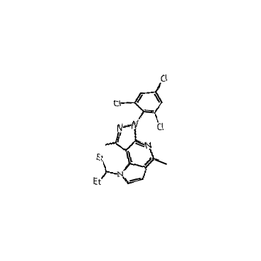 CCC(CC)n1ccc2c(C)nc3c(c(C)nn3-c3c(Cl)cc(Cl)cc3Cl)c21